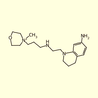 C[N+]1(CCCNCCN2CCCc3ccc(N)cc32)CCOCC1